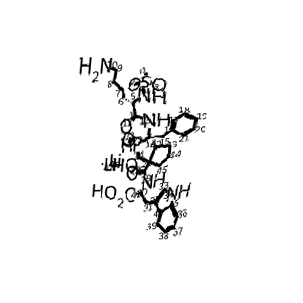 CS(=O)(=O)N[C@@H](CCCCN)C(=O)N[C@@H](Cc1ccccc1)[PH](=O)C(O)C1(C(=O)N[C@@H](Cc2c[nH]c3ccccc23)C(=O)O)CCCC1.[Li].[Li]